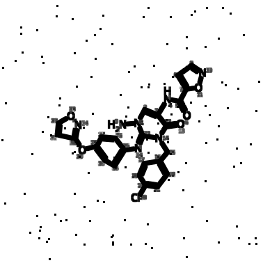 Nn1cc(NC(=O)c2ccno2)c(=O)n(Cc2ccc(Cl)cc2)/c1=N/c1ccc(Oc2ccon2)cc1